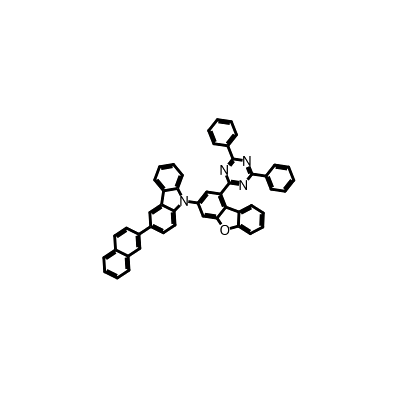 c1ccc(-c2nc(-c3ccccc3)nc(-c3cc(-n4c5ccccc5c5cc(-c6ccc7ccccc7c6)ccc54)cc4oc5ccccc5c34)n2)cc1